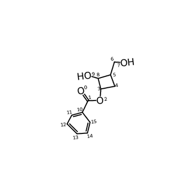 O=C(OC1CC(CO)C1O)c1ccccc1